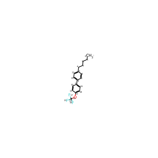 [CH2]CCCCc1ccc(-c2ccc(OC(F)(F)F)cc2)cc1